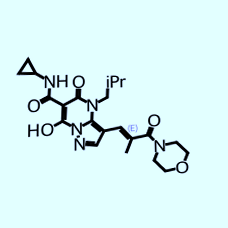 C/C(=C\c1cnn2c(O)c(C(=O)NC3CC3)c(=O)n(CC(C)C)c12)C(=O)N1CCOCC1